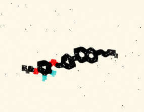 CCCC1CCC2CC(c3ccc(COc4ccc(OC)c(F)c4F)cc3)CCC2C1